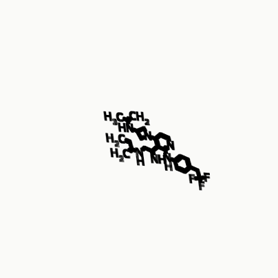 C=CC(=C)NCC(=N)c1c(N2CC(NC(=C)C)C2)ccnc1Nc1ccc(CC(F)(F)F)cc1